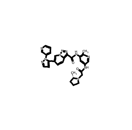 Cc1ncc(NC(=O)CN2CCC[C@@H]2C)cc1NC(=O)c1nnn2cc(-c3ccnn3-c3cccnc3)ccc12